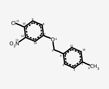 Cc1ccc(COc2ccc(Cl)c([N+](=O)[O-])c2)cc1